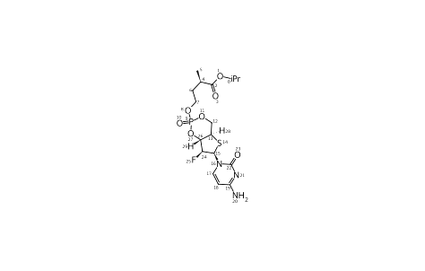 CC(C)OC(=O)[C@H](C)CCOP1(=O)OC[C@H]2S[C@@H](n3ccc(N)nc3=O)[C@@H](F)[C@@H]2O1